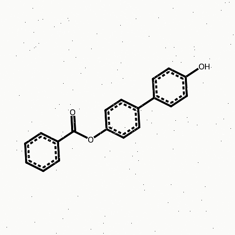 O=C(Oc1ccc(-c2ccc(O)cc2)cc1)c1ccccc1